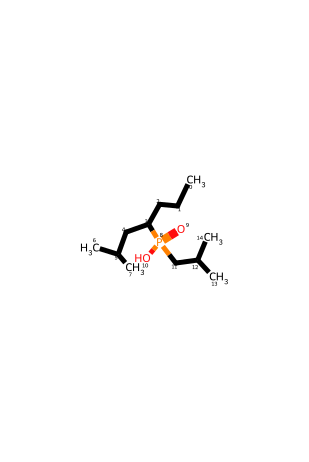 CCCC(CC(C)C)P(=O)(O)CC(C)C